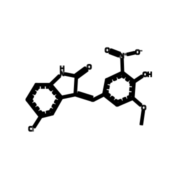 COc1cc(C=C2C(=O)Nc3ccc(Cl)cc32)cc([N+](=O)[O-])c1O